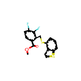 COC(=O)c1ccc(F)c(F)c1CSc1cccc2sccc12